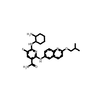 CC(C)COc1ccc2cc(Nc3nc(NC4CCCCC4N)c(F)cc3C(N)=O)ccc2n1